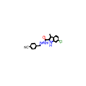 Cc1c(C(=O)NN=Cc2ccc(C#N)cc2)[nH]c2cc(Cl)ccc12